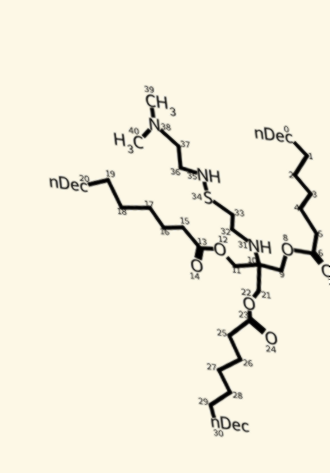 CCCCCCCCCCCCCCCC(=O)OCC(COC(=O)CCCCCCCCCCCCCCC)(COC(=O)CCCCCCCCCCCCCCC)NCCSNCCN(C)C